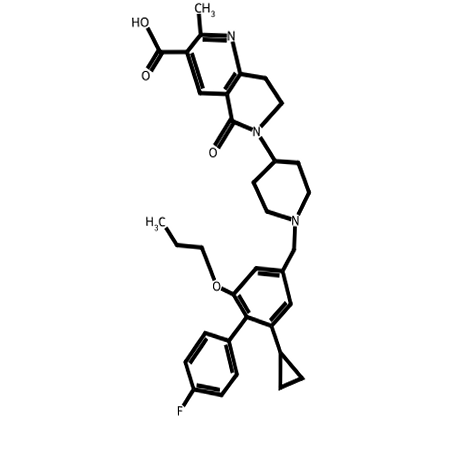 CCCOc1cc(CN2CCC(N3CCc4nc(C)c(C(=O)O)cc4C3=O)CC2)cc(C2CC2)c1-c1ccc(F)cc1